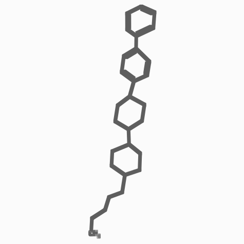 CCCCCC1CCC(C2CCC(c3ccc(-c4ccccc4)cc3)CC2)CC1